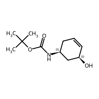 CC(C)(C)OC(=O)N[C@H]1CC=C[C@@H](O)C1